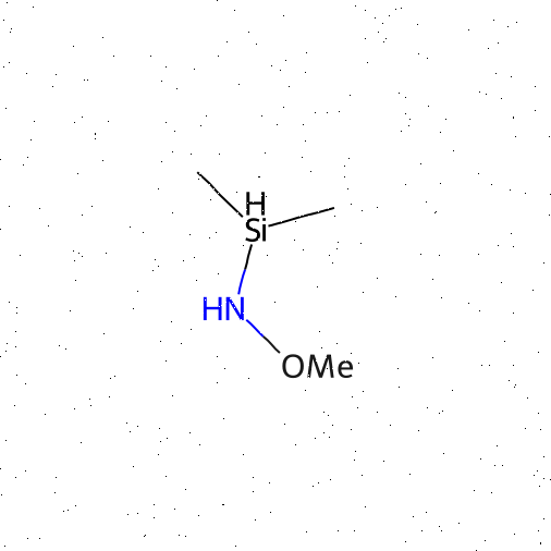 CON[SiH](C)C